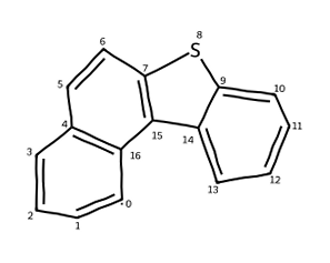 [c]1cccc2ccc3sc4ccccc4c3c12